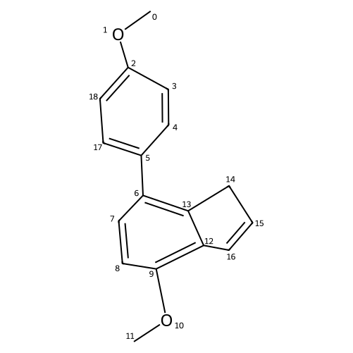 COc1ccc(-c2ccc(OC)c3c2CC=C3)cc1